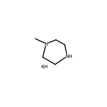 CN1CCNCC1.[KH]